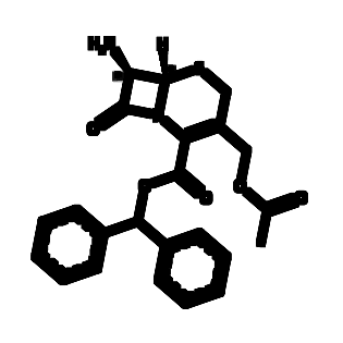 CC(=O)OCC1=C(C(=O)OC(c2ccccc2)c2ccccc2)N2C(=O)[C@@H](N)[C@H]2SC1